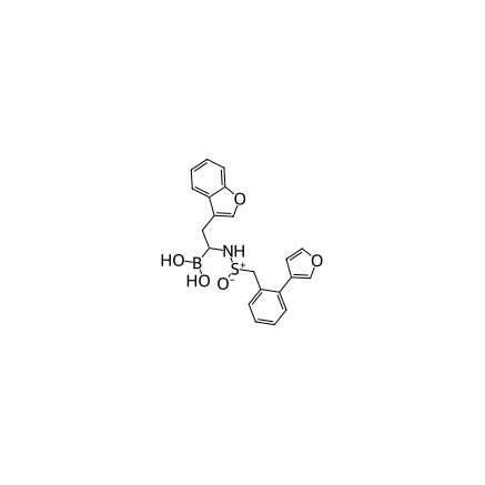 [O-][S+](Cc1ccccc1-c1ccoc1)NC(Cc1coc2ccccc12)B(O)O